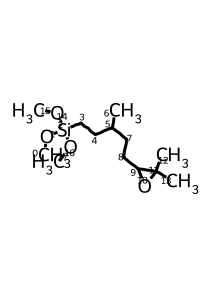 CO[Si](CCC(C)CCC1OC1(C)C)(OC)OC